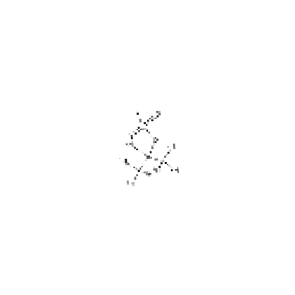 [2H]C([2H])([2H])C([2H])(OS(C)(=O)=O)C([2H])([2H])[2H]